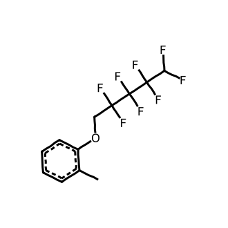 Cc1ccccc1OCC(F)(F)C(F)(F)C(F)(F)C(F)F